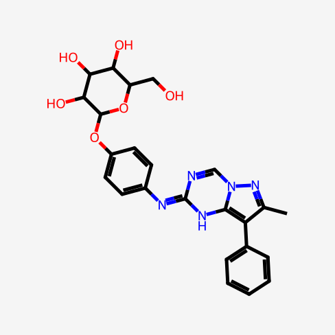 Cc1nn2cn/c(=N\c3ccc(OC4OC(CO)C(O)C(O)C4O)cc3)[nH]c2c1-c1ccccc1